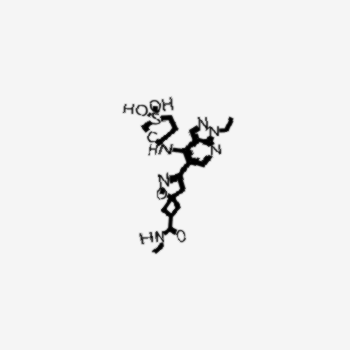 CCNC(=O)C1CC2(CC(c3cnc4c(cnn4CC)c3NC3CCS(O)(O)CC3)=NO2)C1